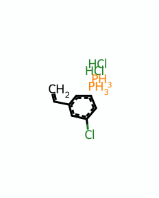 C=Cc1cccc(Cl)c1.Cl.Cl.P.P